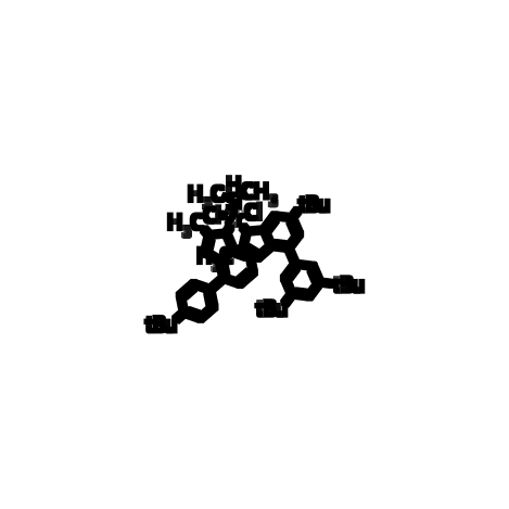 CC1=Cc2c(-c3ccc(C(C)(C)C)cc3)cccc2[CH]1[Zr]([Cl])([Cl])([CH]1C(C)=Cc2c(-c3cc(C(C)(C)C)cc(C(C)(C)C)c3)cc(C(C)(C)C)cc21)[SiH](C)C